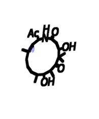 CC(=O)C1/C=C(/C)CCCC(C)C(O)C(C)C(=O)C(C)(C)C(O)CC(=O)N1